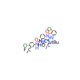 C[C@@H](c1nc2cccc(Cl)c2c(=O)n1-c1cccc(NC(=O)Nc2ccc(Cl)c(C(F)(F)F)c2)c1)N(C(=O)O)C(C)(C)C